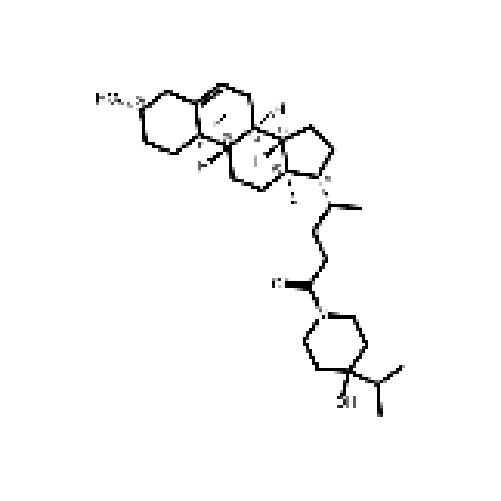 CC(CCC(=O)N1CCC(O)(C(C)C)CC1)[C@H]1CC[C@H]2[C@@H]3CC=C4C[C@@H](O)CC[C@]4(C)[C@H]3CC[C@]12C